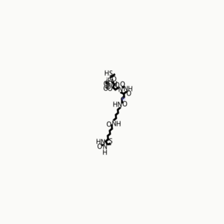 CC(C)OP(=O)(O)OC1CC(N2CC(/C=C/C(=O)NCCCCCCNC(=O)CCCCC3SCC4NC(=O)NC43)C(=O)NC2=O)OC1COC(C)(C)S